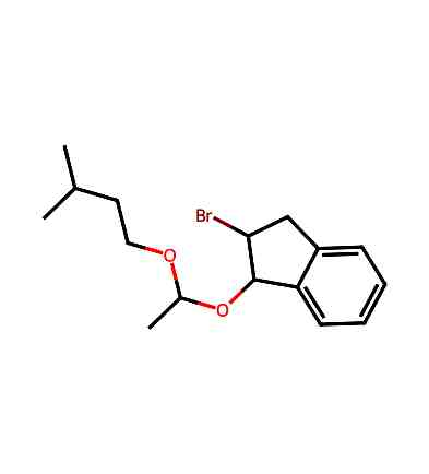 CC(C)CCOC(C)OC1c2ccccc2CC1Br